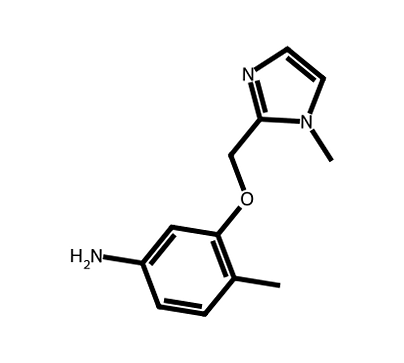 Cc1ccc(N)cc1OCc1nccn1C